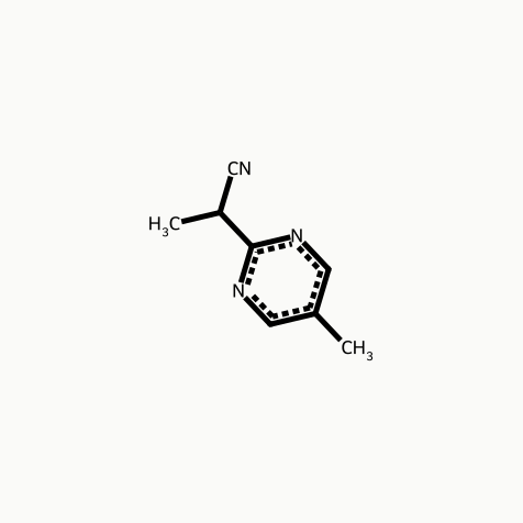 Cc1cnc(C(C)C#N)nc1